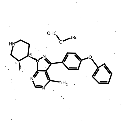 CC(C)(C)OC=O.Nc1ncnc2c1c(-c1ccc(Oc3ccccc3)cc1)nn2[C@@H]1CCNC[C@@H]1F